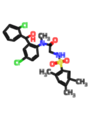 Cc1cc(C)c(S(=O)(=O)NCC(=O)N(C)c2ccc(Cl)cc2C(O)c2ccccc2Cl)cc1C